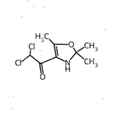 CC1=C(C(=O)C(Cl)Cl)NC(C)(C)O1